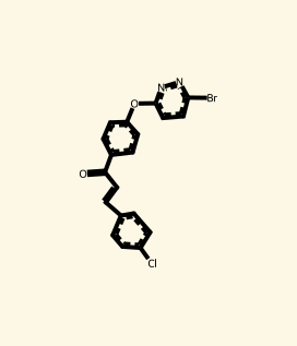 O=C(C=Cc1ccc(Cl)cc1)c1ccc(Oc2ccc(Br)nn2)cc1